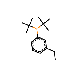 CCc1cccc(P(C(C)(C)C)C(C)(C)C)c1